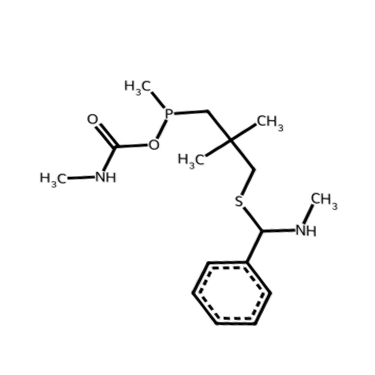 CNC(=O)OP(C)CC(C)(C)CSC(NC)c1ccccc1